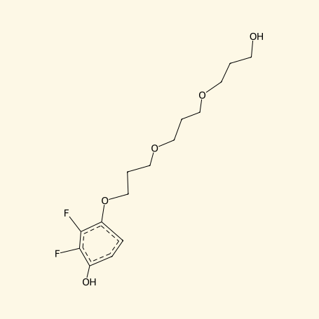 OCCCOCCCOCCCOc1ccc(O)c(F)c1F